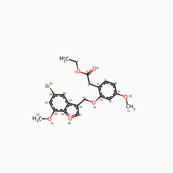 CCOC(=O)Cc1ccc(OC)cc1OCc1coc2c(OC)cc(Br)cc12